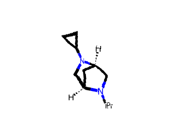 CC(C)N1C[C@H]2C[C@@H]1CN2C1CC1